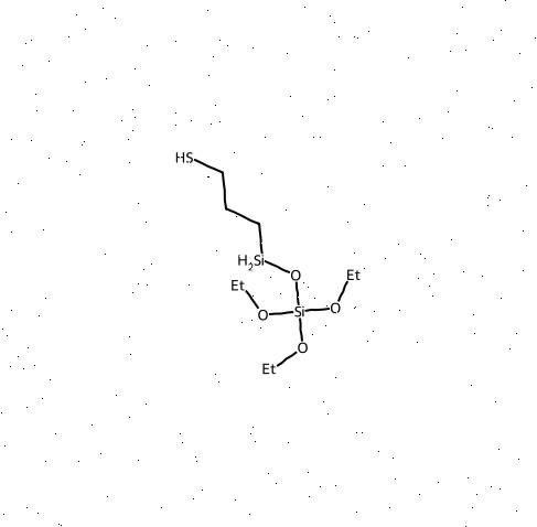 CCO[Si](OCC)(OCC)O[SiH2]CCCS